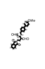 COc1ccc(-c2ccc(CC[C@@H](OC=O)[C@H](C=O)CCN3C(=O)c4ccccc4C3=O)cc2)cn1